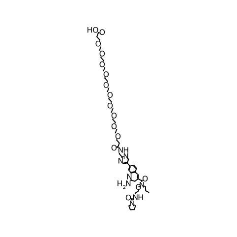 CCCN(OCCNC(=O)N1CCCC1)C(=O)C1=Cc2ccc(-c3cnc(CNC(=O)CCOCCOCCOCCOCCOCCOCCOCCOCCOCCOCCC(=O)O)nc3)cc2N=C(N)C1